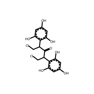 O=C(C(CCl)c1c(O)cc(O)cc1O)C(CCl)c1c(O)cc(O)cc1O